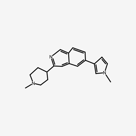 CN1CCC(c2cc3cc(-c4ccn(C)c4)ccc3cn2)CC1